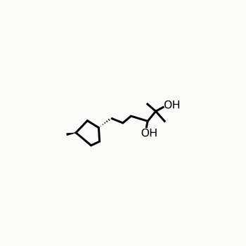 C[C@@H]1CC[C@@H](CCCC(O)C(C)(C)O)C1